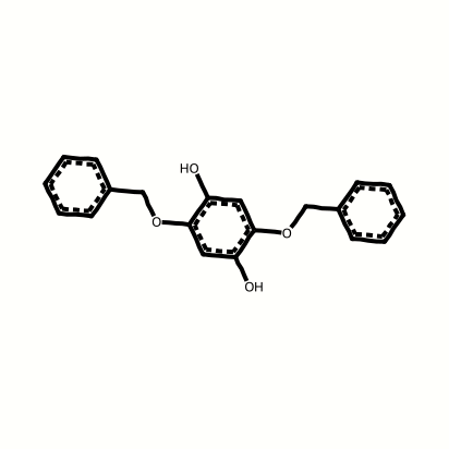 Oc1cc(OCc2ccccc2)c(O)cc1OCc1ccccc1